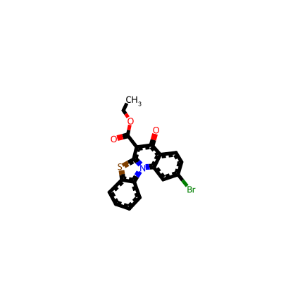 CCOC(=O)c1c(=O)c2ccc(Br)cc2n2c1sc1ccccc12